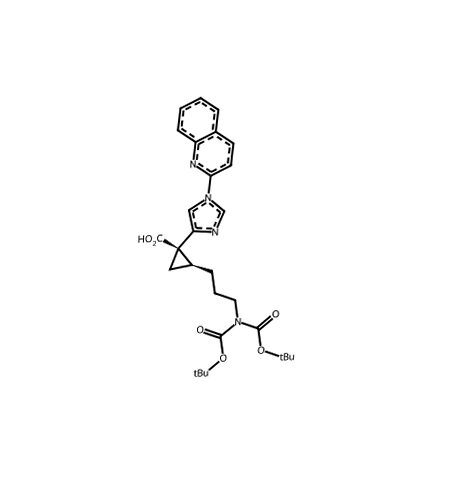 CC(C)(C)OC(=O)N(CCC[C@H]1C[C@]1(C(=O)O)c1cn(-c2ccc3ccccc3n2)cn1)C(=O)OC(C)(C)C